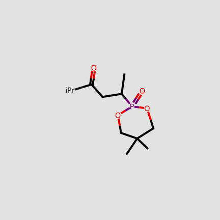 CC(C)C(=O)CC(C)P1(=O)OCC(C)(C)CO1